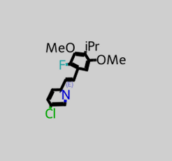 COc1cc(/C=C/c2ccc(Cl)cn2)c(F)c(OC)c1C(C)C